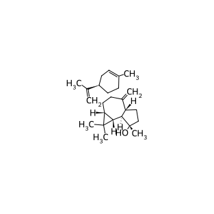 C=C(C)[C@H]1CC=C(C)CC1.C=C1CC[C@@H]2[C@H]([C@H]3[C@H]1CC[C@]3(C)O)C2(C)C